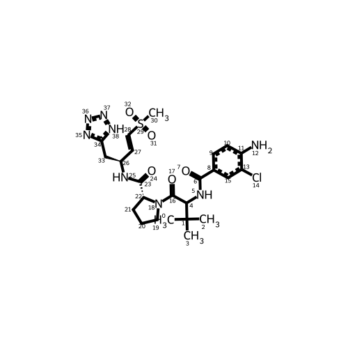 CC(C)(C)C(NC(=O)c1ccc(N)c(Cl)c1)C(=O)N1CCC[C@@H]1C(=O)N[C@H](/C=C/S(C)(=O)=O)Cc1nnn[nH]1